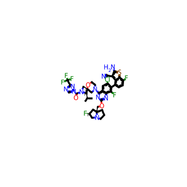 CC(C)[C@H]1N(C(=O)n2cnc(C(F)(F)F)n2)C[C@@]12CN(c1nc(OC[C@@]34CCCN3C[C@H](F)C4)nc3c(F)c(-c4ccc(F)c5sc(N)c(C#N)c45)c(Cl)cc13)CCO2